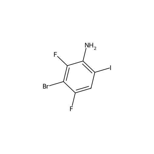 Nc1c(I)cc(F)c(Br)c1F